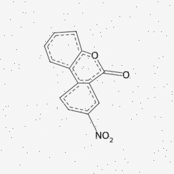 O=c1oc2ccccc2c2ccc([N+](=O)[O-])cc12